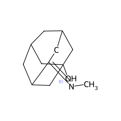 C/N=C1\CC2CC3CC1CC(O)(C2)C3